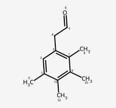 Cc1cc(CC=O)c(C)c(C)c1C